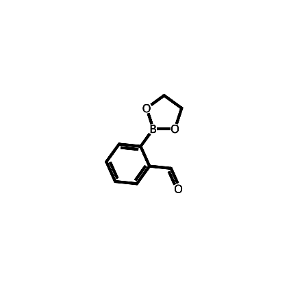 O=Cc1ccccc1B1OCCO1